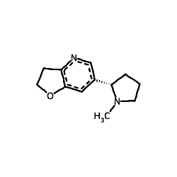 CN1CCC[C@H]1c1cnc2c(c1)OCC2